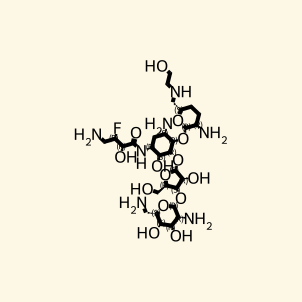 NC[C@@H](F)[C@H](O)C(=O)N[C@@H]1C[C@H](N)[C@@H](O[C@H]2O[C@H](CNCCO)CC[C@H]2N)[C@H](O[C@@H]2O[C@H](CO)[C@@H](O[C@H]3O[C@@H](CN)[C@@H](O)[C@H](O)[C@H]3N)[C@H]2O)[C@H]1O